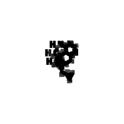 C[C@H]1C2Cc3ncnc(N)c3[C@@]1(C)CCN2CC1CC1